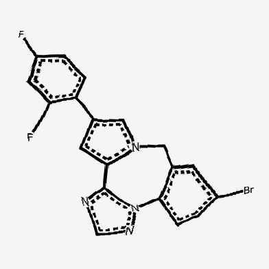 Fc1ccc(-c2cc3n(c2)Cc2cc(Br)ccc2-n2ncnc2-3)c(F)c1